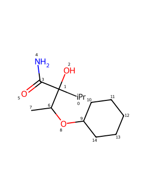 CC(C)C(O)(C(N)=O)C(C)OC1CCCCC1